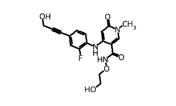 Cn1cc(C(=O)NOCCO)c(Nc2ccc(C#CCO)cc2F)cc1=O